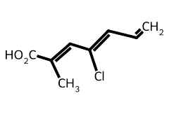 C=CC=C(Cl)C=C(C)C(=O)O